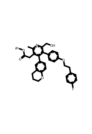 Cc1nc(CO)c(-c2ccc(OCCc3ccc(F)cc3)cc2)c(-c2ccc3c(c2)CCCO3)c1CC(=O)OC(C)C